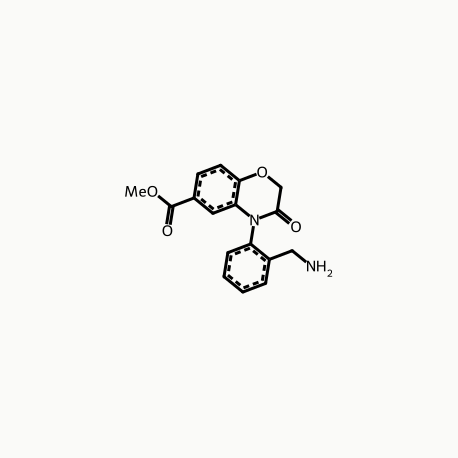 COC(=O)c1ccc2c(c1)N(c1ccccc1CN)C(=O)CO2